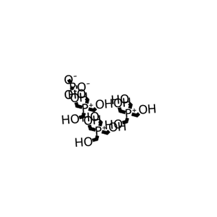 OC[P+](CO)(CO)CO.OC[P+](CO)(CO)CO.OC[P+](CO)(CO)CO.[O-]P([O-])[O-]